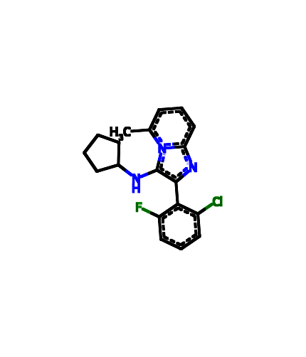 Cc1cccc2nc(-c3c(F)cccc3Cl)c(NC3CCCC3)n12